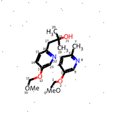 COCOc1ccc(C)nc1.COCOc1ccc(CC(C)(C)O)nc1